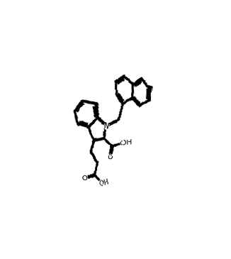 O=C(O)CCC1c2ccccc2N(Cc2cccc3ccccc23)C1C(=O)O